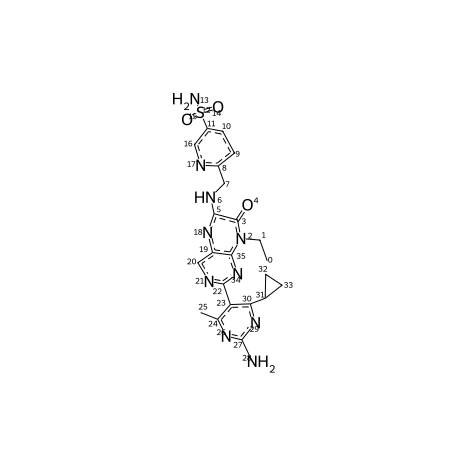 CCn1c(=O)c(NCc2ccc(S(N)(=O)=O)cn2)nc2cnc(-c3c(C)nc(N)nc3C3CC3)nc21